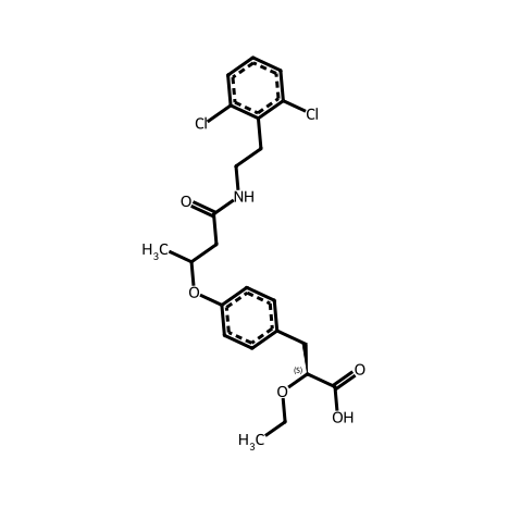 CCO[C@@H](Cc1ccc(OC(C)CC(=O)NCCc2c(Cl)cccc2Cl)cc1)C(=O)O